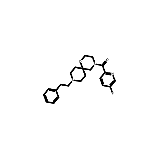 O=C(c1ccc(F)cn1)N1CCOC2(CCN(CCc3ccccc3)CC2)C1